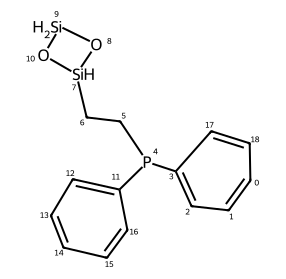 c1ccc(P(CC[SiH]2O[SiH2]O2)c2ccccc2)cc1